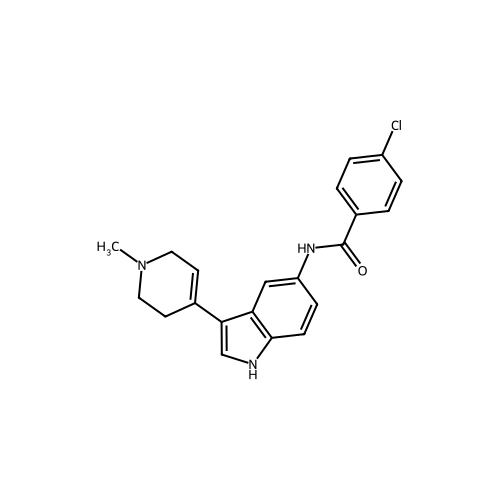 CN1CC=C(c2c[nH]c3ccc(NC(=O)c4ccc(Cl)cc4)cc23)CC1